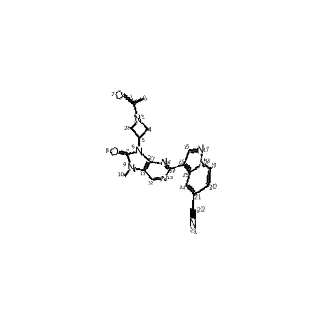 CC(=O)N1CC(n2c(=O)n(C)c3cnc(-c4cnn5ccc(C#N)cc45)nc32)C1